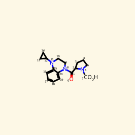 O=C(C1CCCN1C(=O)O)N1CCN(C2CC2)c2ccccc21